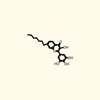 CCCCCCCc1ccc2c(=O)c(O)c(-c3cc(O)c(O)c(O)c3)oc2c1